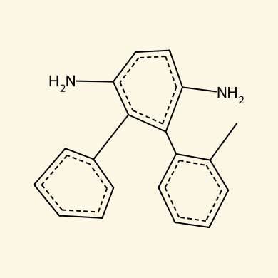 Cc1ccccc1-c1c(N)ccc(N)c1-c1ccccc1